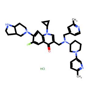 Cc1ccc(N2CCC[C@H](N(Cc3ccnc(C)c3)Cc3cn(C4CC4)c4cc(N5CCC6NCCC6C5)c(F)cc4c3=O)C2)cn1.Cl